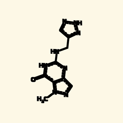 Cn1ncc2nc(NCc3cn[nH]n3)[nH]c(=O)c21